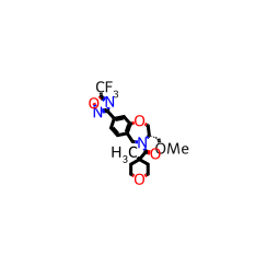 COC[C@H]1COc2cc(-c3noc(C(F)(F)F)n3)ccc2CN1C(=O)C1(C)CCOCC1